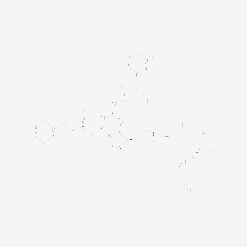 CCO[C@@H]1C2C(OP(OCCC#N)N(C(C)C)C(C)C)[C@H]2O[C@H]1n1cnc2c(NC(=O)COc3ccccc3)nc(NC(=O)COc3ccccc3)nc21